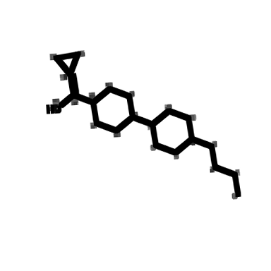 CCCCC1CCC(C2CCC(C(O)=C3CC3)CC2)CC1